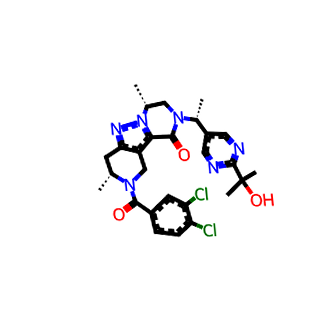 C[C@@H]1Cc2nn3c(c2CN1C(=O)c1ccc(Cl)c(Cl)c1)C(=O)N([C@H](C)c1cnc(C(C)(C)O)nc1)C[C@H]3C